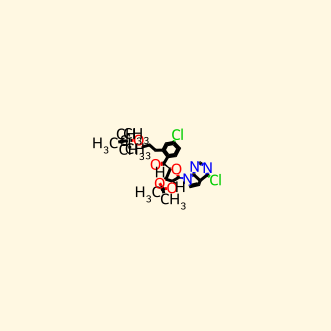 CC1(C)O[C@@H]2[C@H](O1)[C@@H](C(=O)c1ccc(Cl)cc1CCCO[Si](C)(C)C(C)(C)C)O[C@H]2N1C=CC2C(Cl)=NC=NC21